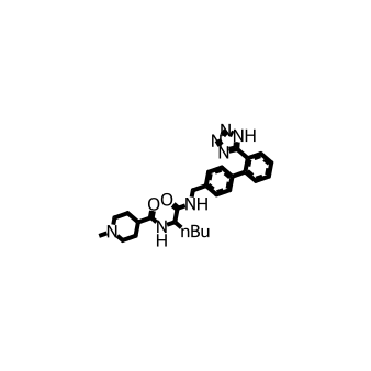 CCCCC(NC(=O)C1CCN(C)CC1)C(=O)NCc1ccc(-c2ccccc2-c2nnn[nH]2)cc1